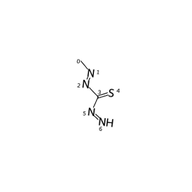 CN=NC(=S)N=N